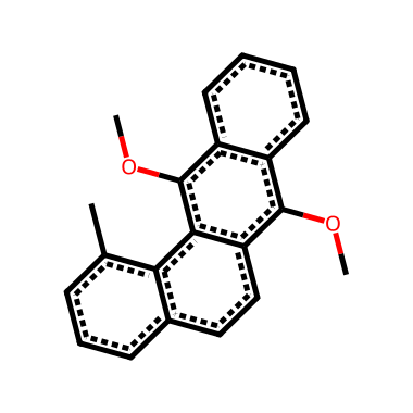 COc1c2ccccc2c(OC)c2c1ccc1cccc(C)c12